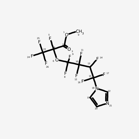 COC(=O)C(F)(OC(F)(F)C(F)(F)C(F)C(F)(F)n1ccnc1)C(F)(F)F